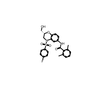 Cc1cccc(C)c1C(=O)Nc1ccc2c(c1)N(S(=O)(=O)c1ccc(F)cc1)C[C@H](CO)O2